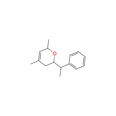 CC1=CC(C)OC(C(C)c2ccccc2)C1